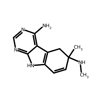 CNC1(C)C=Cc2[nH]c3ncnc(N)c3c2C1